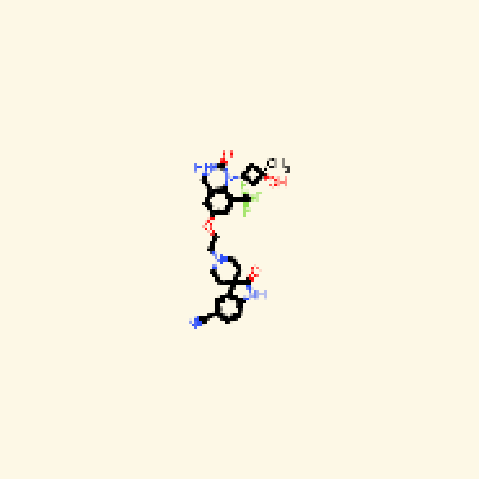 C[C@]1(O)C[C@@H](N2C(=O)NCc3cc(OCCN4CCC5(CC4)C(=O)Nc4ccc(C#N)cc45)cc(C(F)(F)F)c32)C1